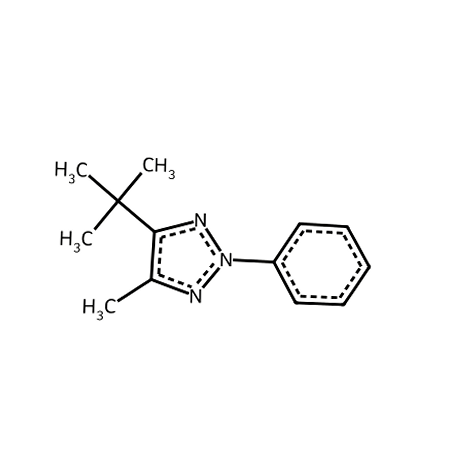 Cc1nn(-c2ccccc2)nc1C(C)(C)C